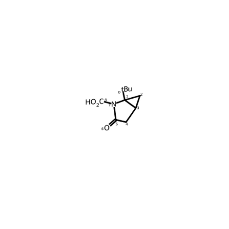 CC(C)(C)C12CC1CC(=O)N2C(=O)O